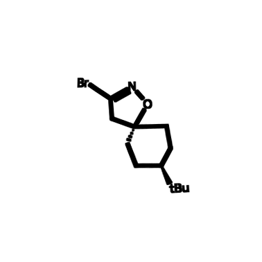 CC(C)(C)[C@H]1CC[C@]2(CC1)CC(Br)=NO2